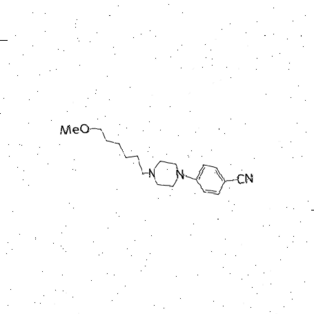 COCCCCCCN1CCN(c2ccc(C#N)cc2)CC1